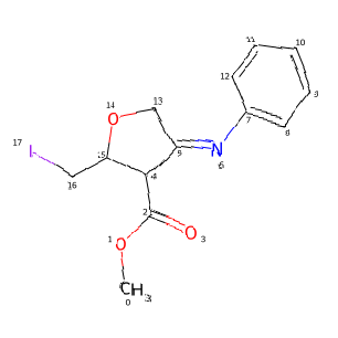 COC(=O)C1C(=Nc2ccccc2)COC1CI